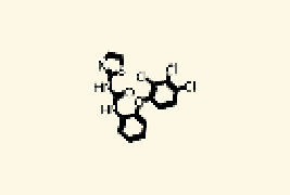 O=C(Nc1nccs1)Nc1ccccc1Oc1ccc(Cl)c(Cl)c1Cl